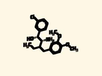 CCC(Cc1ccc(OC)c(OC)c1)[C@@H](N)[C@H](O)c1cccc(Cl)c1